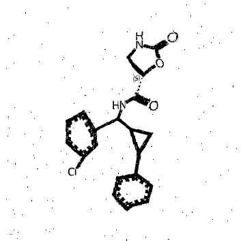 O=C1NC[C@@H](C(=O)NC(c2cccc(Cl)c2)C2CC2c2ccccc2)O1